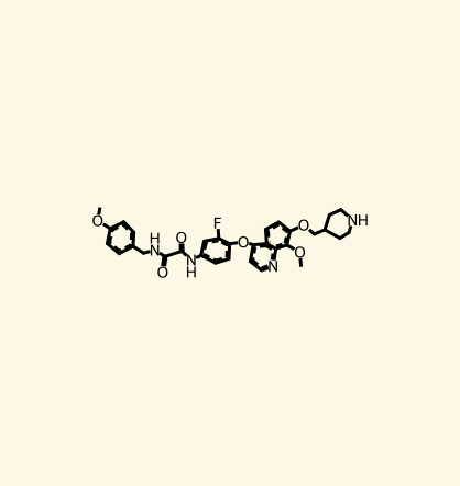 COc1ccc(CNC(=O)C(=O)Nc2ccc(Oc3ccnc4c(OC)c(OCC5CCNCC5)ccc34)c(F)c2)cc1